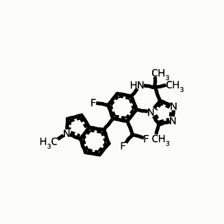 Cc1nnc2n1-c1c(cc(F)c(-c3cccc4c3ccn4C)c1C(F)F)NC2(C)C